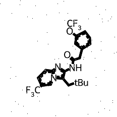 CC(C)(C)Cc1c(NC(=O)Cc2cccc(OC(F)(F)F)c2)nc2ccc(C(F)(F)F)cn12